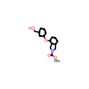 CC(C)(C)OC(=O)N1Cc2cccc(Oc3cccc(CO)c3)c2C1